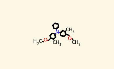 CCOCc1ccc(N(c2ccccc2)c2ccc(COCC)c(C)c2)cc1C